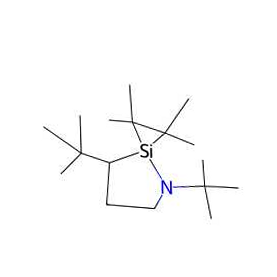 CC(C)(C)C1CCN(C(C)(C)C)[Si]12C(C)(C)C2(C)C